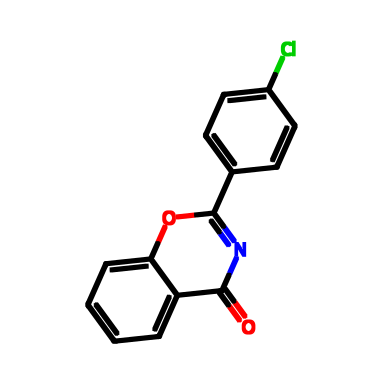 O=c1nc(-c2ccc(Cl)cc2)oc2ccccc12